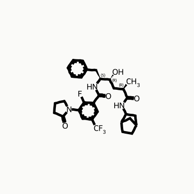 C[C@H](C[C@@H](O)[C@H](Cc1ccccc1)NC(=O)c1cc(C(F)(F)F)cc(N2CCCC2=O)c1F)C(=O)NC1CC2CCC1C2